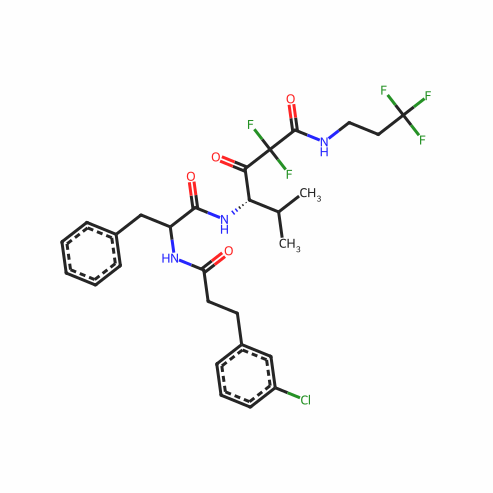 CC(C)[C@H](NC(=O)C(Cc1ccccc1)NC(=O)CCc1cccc(Cl)c1)C(=O)C(F)(F)C(=O)NCCC(F)(F)F